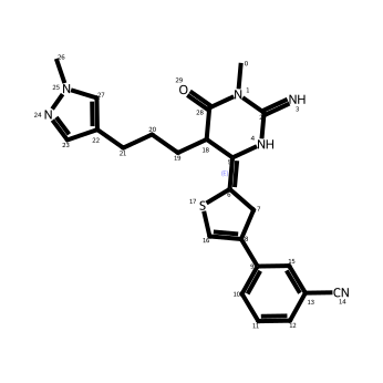 CN1C(=N)N/C(=C2\CC(c3cccc(C#N)c3)=CS2)C(CCCc2cnn(C)c2)C1=O